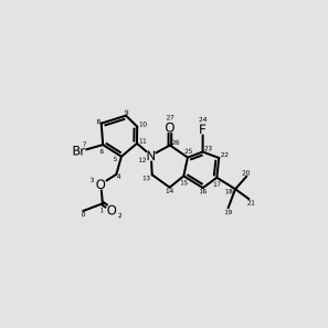 CC(=O)OCc1c(Br)cccc1N1CCc2cc(C(C)(C)C)cc(F)c2C1=O